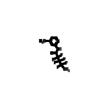 Cc1ccnc(NC(=O)C(F)(F)C(F)(F)C(C)(F)F)c1